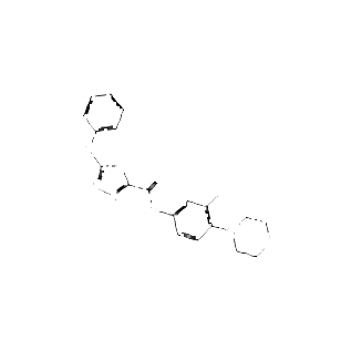 O=C(Nc1ccc(N2CCOCC2)c(F)c1)c1nnc(Nc2ccccc2)o1